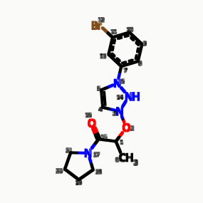 CC(ON1C=CN(c2cccc(Br)c2)N1)C(=O)N1CCCC1